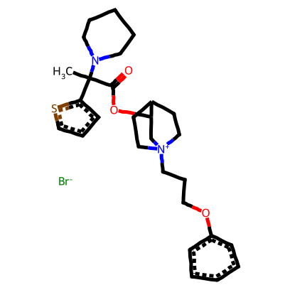 CC(C(=O)OC1C[N+]2(CCCOc3ccccc3)CCC1CC2)(c1cccs1)N1CCCCC1.[Br-]